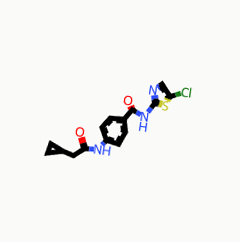 O=C(CC1CC1)Nc1ccc(C(=O)Nc2ncc(Cl)s2)cc1